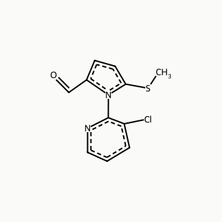 CSc1ccc(C=O)n1-c1ncccc1Cl